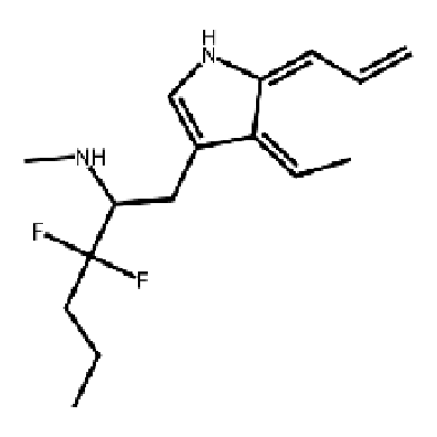 C=C/C=c1/[nH]cc(CC(NC)C(F)(F)CCC)/c1=C/C